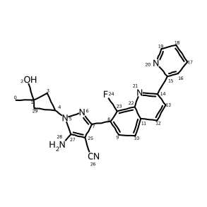 CC1(O)CC(n2nc(-c3ccc4ccc(-c5ccccn5)nc4c3F)c(C#N)c2N)C1